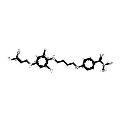 CCCN(CCC)C(=O)c1ccc(OCCCCOc2c(C)cc(OCC=C(Cl)Cl)cc2CC)cc1